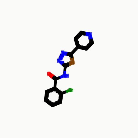 O=C(Nc1nnc(-c2ccncc2)s1)c1ccccc1Br